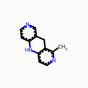 Cc1nccc2c1Cc1cnccc1N2